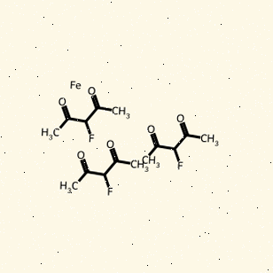 CC(=O)C(F)C(C)=O.CC(=O)C(F)C(C)=O.CC(=O)C(F)C(C)=O.[Fe]